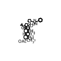 CC(=O)O[C@H]1CC[C@]2(C)[C@H]3CC[C@@H]4[C@H]5[C@H](C6(C)CC6)CC[C@]5(C(=O)N5CCCC5c5nc(-c6ccccc6)no5)CC[C@@]4(C)[C@]3(C)CC[C@H]2C1(C)C